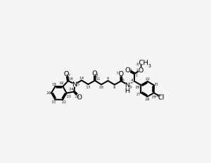 COC(=O)[C@@H](NC(=O)CCCC(=O)CCN1C(=O)c2ccccc2C1=O)c1ccc(Cl)cc1